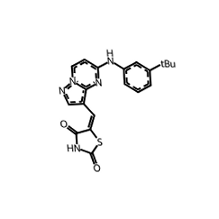 CC(C)(C)c1cccc(Nc2ccn3ncc(C=C4SC(=O)NC4=O)c3n2)c1